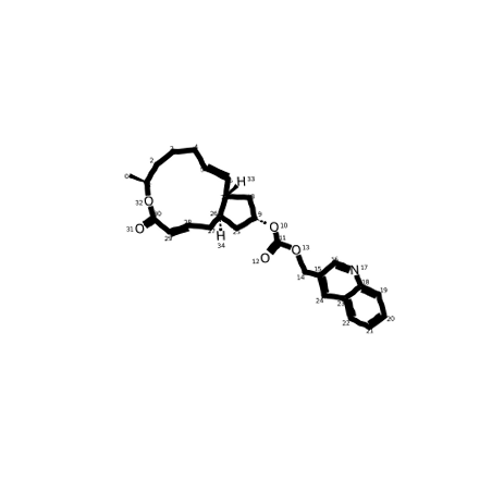 C[C@H]1CCC/C=C/[C@@H]2C[C@H](OC(=O)OCc3cnc4ccccc4c3)C[C@H]2C/C=C/C(=O)O1